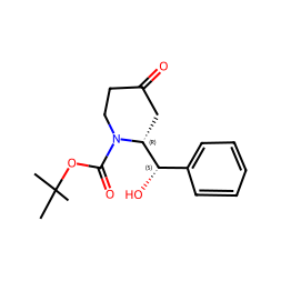 CC(C)(C)OC(=O)N1CCC(=O)C[C@@H]1[C@@H](O)c1ccccc1